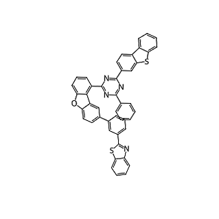 c1ccc(-c2nc(-c3ccc4c(c3)sc3ccccc34)nc(-c3cccc4oc5ccc(-c6cccc(-c7nc8ccccc8s7)c6)cc5c34)n2)cc1